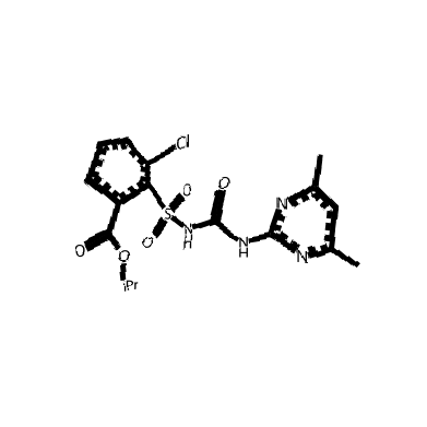 Cc1cc(C)nc(NC(=O)NS(=O)(=O)c2c(Cl)cccc2C(=O)OC(C)C)n1